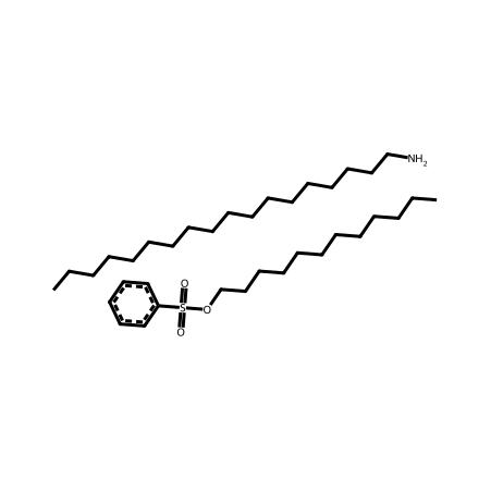 CCCCCCCCCCCCCCCCCCN.CCCCCCCCCCCCOS(=O)(=O)c1ccccc1